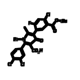 CCn1c(C)c(-c2cc(C(=O)OC(C)(C)C)c(Cl)cc2F)c(=O)c(C(=O)O)c1-c1ccc(Cl)c(Cl)c1